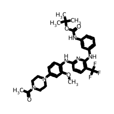 COc1cc(N2CCN(C(C)=O)CC2)ccc1Nc1ccc(C(F)(F)F)c(Nc2cccc(NC(=O)OC(C)(C)C)c2)n1